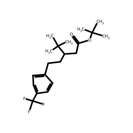 CC(C)(C)OC(=O)CC(CCc1ccc(C(F)(F)F)cc1)C(C)(C)C